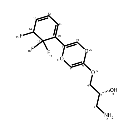 NC[C@@H](O)COC1=COC(C2=CC=CC(F)C2(F)F)=CO1